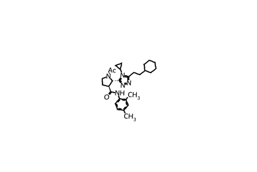 CC(=O)N1CC[C@H](C(=O)Nc2ccc(C)cc2C)[C@H]1c1nnc(CCC2CCCCC2)n1C1CC1